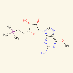 C=P(C)(C)CC[C@H]1O[C@@H](n2cnc3c(OCCC)nc(N)nc32)[C@H](O)[C@@H]1O